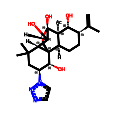 C=C(C)[C@@H]1CC[C@H]2[C@@]34CO[C@@](O)([C@@H](O)[C@@H]3C(C)(C)C[C@H](n3ccnn3)[C@H]4O)[C@@]2(C(C)=O)[C@@H]1O